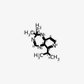 CC(C)c1nccc2c1=NC=NC(C)(P)N=2